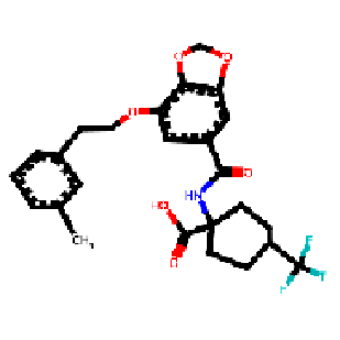 Cc1cccc(CCOc2cc(C(=O)NC3(C(=O)O)CCC(C(F)(F)F)CC3)cc3c2OCO3)c1